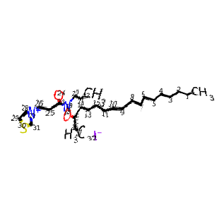 CCCCCCCCCCCCCCCC(CC)ON(CCC)C(=O)CC[n+]1ccsc1.[I-]